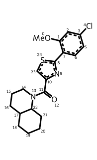 COc1cc(Cl)ccc1-c1nc(C(=O)N2CCCC3CCCCC32)cs1